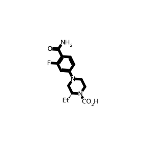 CC[C@@H]1CN(c2ccc(C(N)=O)c(F)c2)CCN1C(=O)O